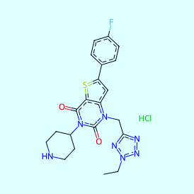 CCn1nnc(Cn2c(=O)n(C3CCNCC3)c(=O)c3sc(-c4ccc(F)cc4)cc32)n1.Cl